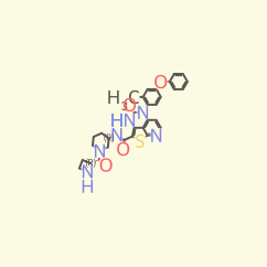 Cc1cc(Oc2ccccc2)ccc1N1C(=O)Nc2c(C(=O)N[C@@H]3CCCN(C(=O)[C@H]4CCN4)C3)sc3nccc1c23